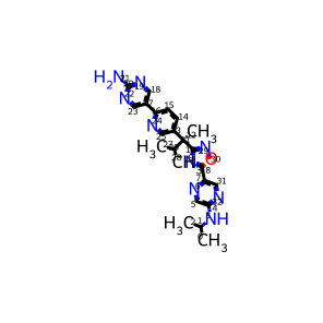 CC(C)Nc1cnc(-c2nc([C@](C)(c3ccc(-c4cnc(N)nc4)nc3)C(C)C)no2)cn1